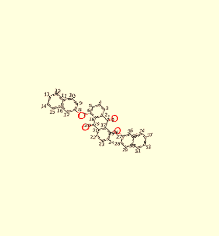 O=C1c2cccc(Oc3ccc4ccccc4c3)c2C(=O)c2cccc(Oc3ccc4ccccc4c3)c21